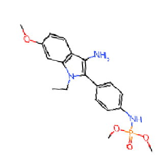 CCn1c(-c2ccc(NP(=O)(OC)OC)cc2)c(N)c2ccc(OC)cc21